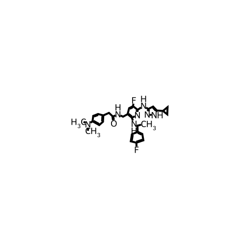 CC(Nc1nc(Nc2cc(C3CC3)[nH]n2)c(F)cc1CNC(=O)Cc1ccc(N(C)C)cc1)c1ccc(F)cc1